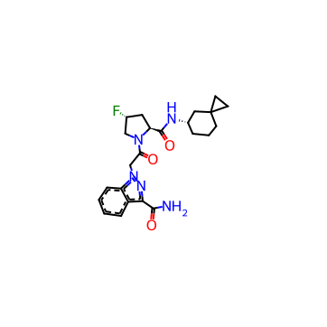 NC(=O)c1nn(CC(=O)N2C[C@H](F)C[C@H]2C(=O)N[C@H]2CCCC3(CC3)C2)c2ccccc12